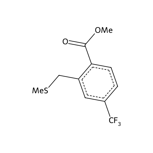 COC(=O)c1ccc(C(F)(F)F)cc1CSC